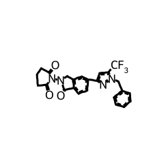 O=C1c2ccc(-c3cc(C(F)(F)F)n(Cc4ccccc4)n3)cc2CN1N1C(=O)CCCC1=O